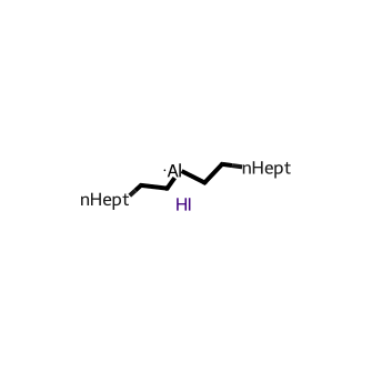 CCCCCCCC[CH2][Al][CH2]CCCCCCCC.I